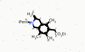 C=C1Cc2c(C)c(CC(=O)OCC)c(C)c(C)c2CN1C(C)CCC